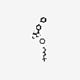 CC(C)(C)c1cc(CC(=O)N[C@H]2CC[C@@H](n3nc(-c4ccc(Oc5ccccc5)cc4)c4c(N)ncnc43)CC2)no1